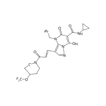 CC(C)Cn1c(=O)c(C(=O)NC2CC2)c(O)n2ncc(/C=C/C(=O)N3CCC(OC(F)(F)F)CC3)c12